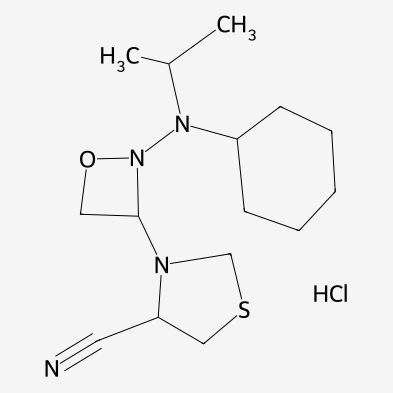 CC(C)N(C1CCCCC1)N1OCC1N1CSCC1C#N.Cl